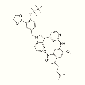 COc1cc(N(C)CCN(C)C)c([N+](=O)[O-])cc1Nc1nccc(-c2cn(Cc3ccc(O[Si](C)(C)C(C)(C)C)c(C4OCCO4)c3)c3ccccc23)n1